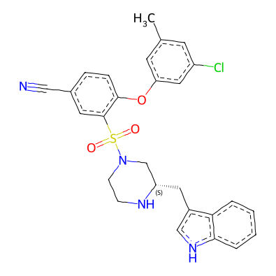 Cc1cc(Cl)cc(Oc2ccc(C#N)cc2S(=O)(=O)N2CCN[C@@H](Cc3c[nH]c4ccccc34)C2)c1